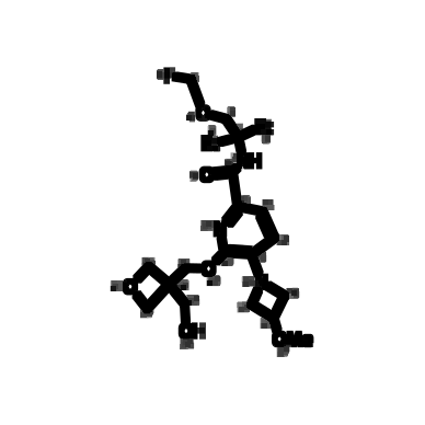 CCC(CC)(COCF)NC(=O)c1ccc(N2CC(OC)C2)c(OCC2(CO)COC2)n1